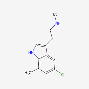 CCNCCc1c[nH]c2c(C)cc(Cl)cc12